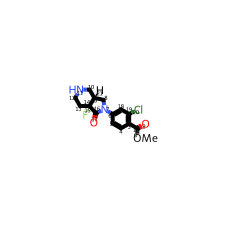 COC(=O)c1ccc(N2C[C@@H]3CNCC[C@]3(F)C2=O)cc1Cl